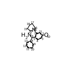 COc1ccc(C(N)c2ccccc2)c(N2CCCCC2)c1